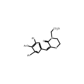 CCOC(=O)CN1CCSC(=Cc2cc(C(C)C)c(OC(C)=O)c(C(C)C)c2)C1=O